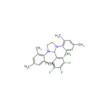 Cc1cc(C)c(N2CCN(c3c(C)cc(C)cc3C)C2c2c(F)c(F)c(F)c(F)c2F)c(C)c1